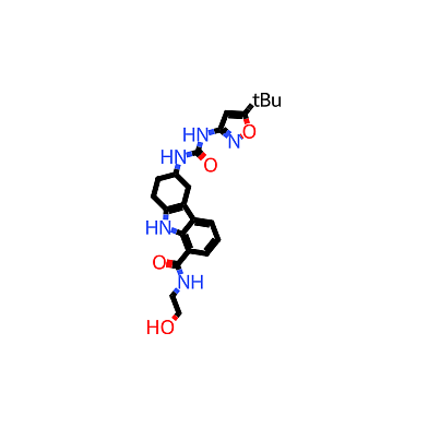 CC(C)(C)c1cc(NC(=O)NC2CCc3[nH]c4c(C(=O)NCCO)cccc4c3C2)no1